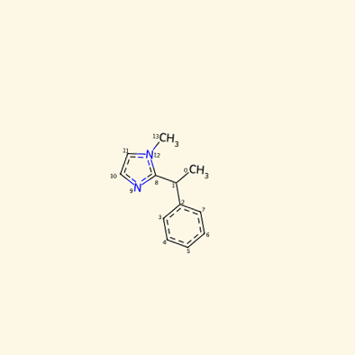 CC(c1ccccc1)c1nccn1C